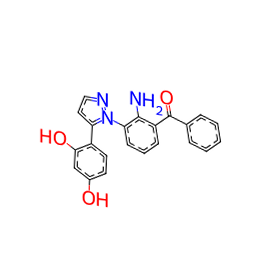 Nc1c(C(=O)c2ccccc2)cccc1-n1nccc1-c1ccc(O)cc1O